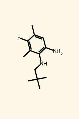 Cc1cc(N)c(NCC(C)(C)C)c(C)c1F